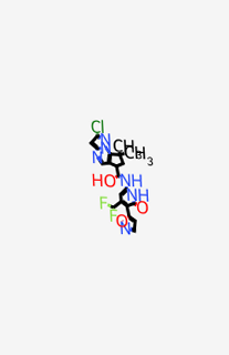 CC1(C)CC(C(O)Nc2cc(C(F)F)c(-c3ccno3)c(=O)[nH]2)c2cnc3cc(Cl)nn3c21